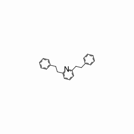 c1ccc(CCc2cccc(CCc3ccccc3)n2)cc1